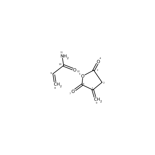 C=C1CC(=O)OC1=O.C=CC(N)=O